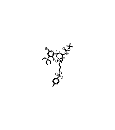 CC[Si](CC)(CC)c1cc(Br)nc([C@]2(C)C[S@@](=O)(=NCCCOS(=O)(=O)c3ccc(C)cc3)C(C)(C)C(NC(=O)OC(C)(C)C)=N2)c1F